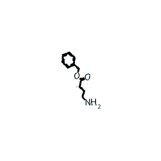 NCC[CH]C(=O)OCc1ccccc1